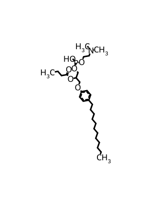 CCCCCCCCCCCCc1ccc(OCC(COP(O)OCCN(C)C)OC(=O)CCC)cc1